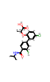 CC(C)NC(=O)c1ccc(-c2cc(Cl)ccc2O[C@@H](C)C(=O)O)cc1F